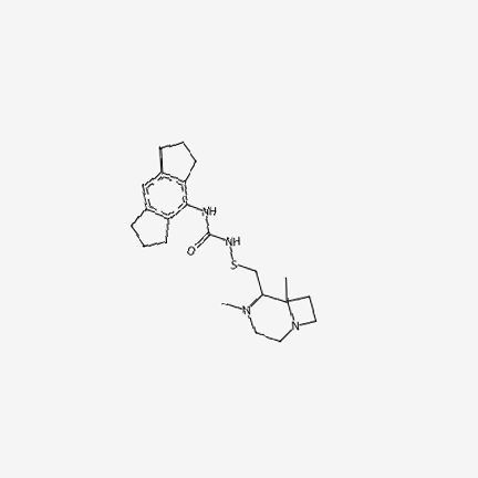 CN1CCN2CCC2(C)C1CSNC(=O)Nc1c2c(cc3c1CCC3)CCC2